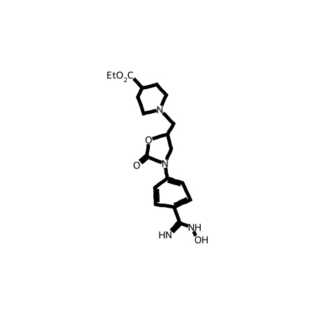 CCOC(=O)C1CCN(CC2CN(c3ccc(C(=N)NO)cc3)C(=O)O2)CC1